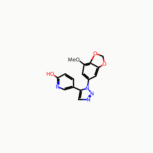 COc1cc(-n2nncc2-c2ccc(O)nc2)cc2c1OCO2